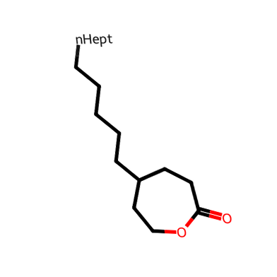 CCCCCCCCCCCCC1CCOC(=O)CC1